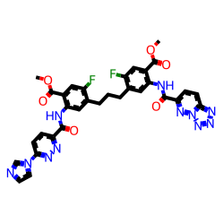 COC(=O)c1cc(F)c(CCCc2cc(NC(=O)c3ccc4nnnn4n3)c(C(=O)OC)cc2F)cc1NC(=O)c1ccc(-n2ccnc2)nn1